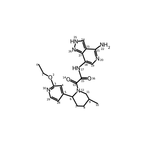 CCOc1cc(C2CCC(C)CN2C(=O)C(=O)Nc2cnc(N)c3c[nH]nc23)ccn1